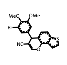 COc1cc(C2C(C#N)=COc3c2ccc2sccc32)cc(Br)c1OC